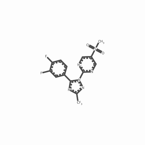 CS(=O)(=O)c1cnc(-n2nc(C(F)(F)F)nc2-c2ccc(F)c(F)c2)nc1